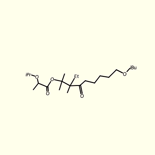 CCC(C)OCCCCCC(=O)C(C)(CC)C(C)(C)OC(=O)C(C)OC(C)C